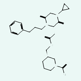 N=C(N)N1CCC[C@@H](CNC(=O)C[C@H]2C(=O)N(C3CC3)CC(=O)N2CCCc2ccccc2)C1